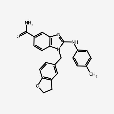 Cc1ccc(Nc2nc3cc(C(N)=O)ccc3n2Cc2ccc3c(c2)CCO3)cc1